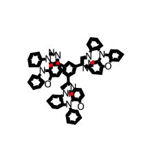 c1ccc2c(c1)Oc1ccccc1N2c1ccccc1-n1cc(-c2cc(-c3cn(-c4ccccc4N4c5ccccc5Oc5ccccc54)nn3)cc(-c3cn(-c4ccccc4N4c5ccccc5Oc5ccccc54)nn3)c2)nn1